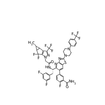 CC1C2c3c(C(F)(F)F)nn(CC(=O)N[C@@H](Cc4cc(F)cc(F)c4)c4nc5nc(N6CCN(c7ccc(C(F)(F)F)cc7)CC6)sc5cc4-c4ccc(F)c(C(N)=O)c4)c3C(F)(F)C12